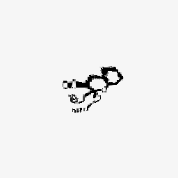 CCCCOC1(CCCC)Oc2ccccc2CC1=C=O